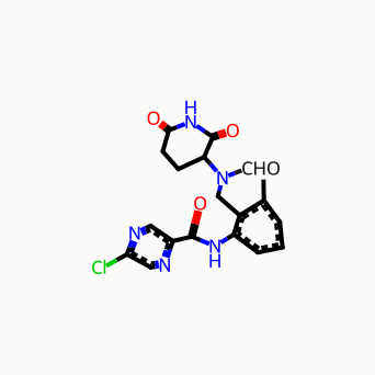 Cc1cccc(NC(=O)c2cnc(Cl)cn2)c1CN(C=O)C1CCC(=O)NC1=O